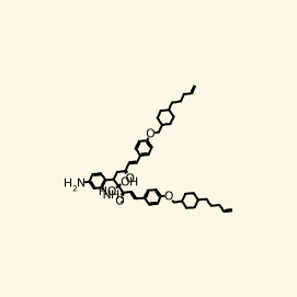 C=CCCCC1CCC(COc2ccc(C=CC(=O)CC(c3ccc(N)cc3N)C(O)(O)C(=O)C=Cc3ccc(OCC4CCC(CCCC=C)CC4)cc3)cc2)CC1